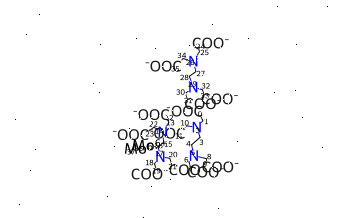 O=C([O-])CN(CCN(CC(=O)[O-])CC(=O)[O-])CC(=O)[O-].O=C([O-])CN(CCN(CC(=O)[O-])CC(=O)[O-])CC(=O)[O-].O=C([O-])CN(CCN(CC(=O)[O-])CC(=O)[O-])CC(=O)[O-].[Mo+6].[Mo+6]